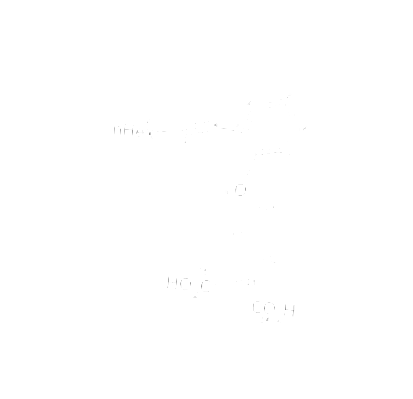 CCCCCCC#Cc1ccccc1OCCCC(C(=O)O)C(=O)O